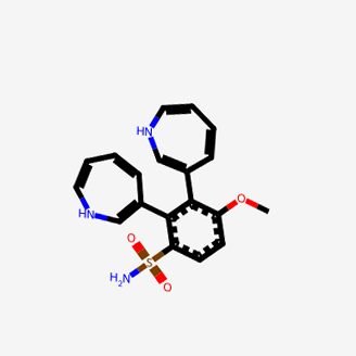 COc1ccc(S(N)(=O)=O)c(C2=CNC=CC=C2)c1C1=CNC=CC=C1